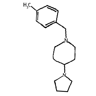 Cc1ccc(CN2CCC(N3CCCC3)CC2)cc1